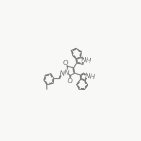 Cc1cccc(/C=N/N2C(=O)C(c3c[nH]c4ccccc34)=C(c3c[nH]c4ccccc34)C2=O)c1